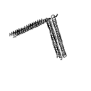 CCOCC.O.O.O.O.O.O.O.O.O.O.O.O.O.O.O.O.O.O.O.O.O.O.O.O.O.O.O.O.O.O.O.O.O.O.O.O.O.O.O